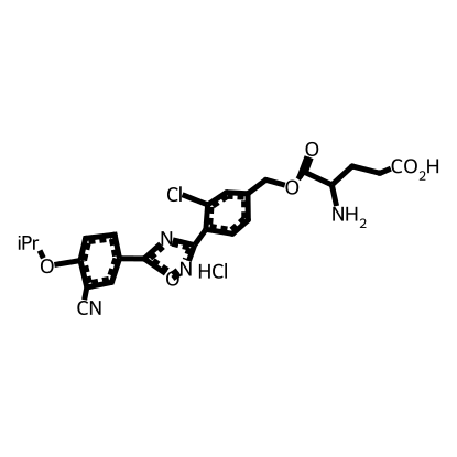 CC(C)Oc1ccc(-c2nc(-c3ccc(COC(=O)C(N)CCC(=O)O)cc3Cl)no2)cc1C#N.Cl